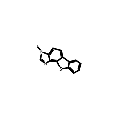 In1cnc2c3sc4ccccc4c3ccc21